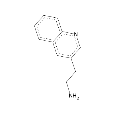 NCCc1cnc2ccccc2c1